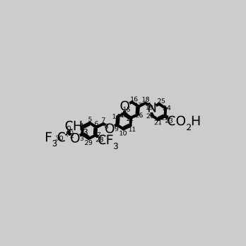 C[C@H](Oc1ccc(COc2ccc3c(c2)OCC(CN2CC=C(C(=O)O)CC2)=C3)c(C(F)(F)F)c1)C(F)(F)F